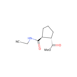 COC(=O)[C@H]1CCC[C@@H]1C(=O)NCC#N